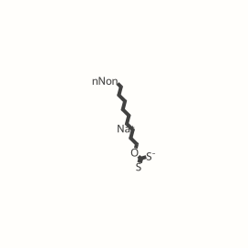 CCCCCCCCCCCCCCCCCCOC(=S)[S-].[Na+]